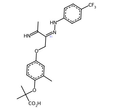 CC(=N)/C(COc1ccc(OC(C)(C)C(=O)O)c(C)c1)=N\Nc1ccc(C(F)(F)F)cc1